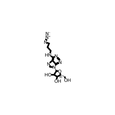 [N-]=[N+]=NCCCNc1ncnc2c1ncn2[C@@H]1O[C@H](CO)C(O)C1O